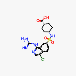 N=C(N)Nc1ncc(Cl)c2ccc(S(=O)(=O)N[C@H]3CC[C@@H](C(=O)O)CC3)cc12